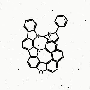 C1=C(c2ccccc2)N2C(n3c4ccccc4c4ccc5c6ccc7oc8ccccc8c7c6n(-c6ccccc6)c5c43)N2C1c1ccccc1